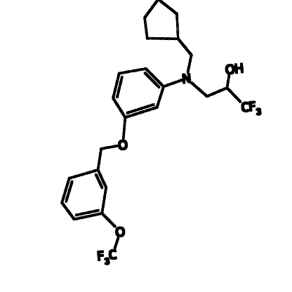 OC(CN(CC1CCCC1)c1cccc(OCc2cccc(OC(F)(F)F)c2)c1)C(F)(F)F